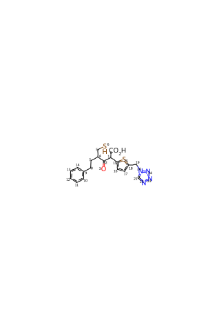 O=C(O)C(C(=O)C(CS)CCc1ccccc1)c1ccc(Cn2cnnn2)s1